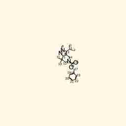 CC(C)c1c2c(nn1C)C(C)(C)CN(C(=O)OCc1ccccc1)C2